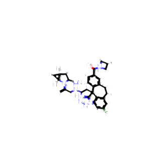 C=C(CNCCC1(c2nnn[nH]2)c2ccc(F)cc2CCc2cc(C(=O)N3CCC3)ccc21)N1C(C#N)C[C@@H]2C[C@@H]21